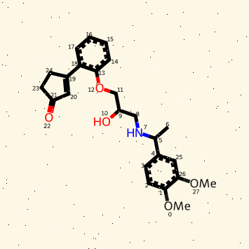 COc1ccc(C(C)NCC(O)COc2ccccc2C2=CC(=O)CC2)cc1OC